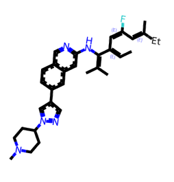 C\C=C(/C=C(F)\C=C(/C)CC)C(Nc1cc2cc(-c3cnn(C4CCN(C)CC4)c3)ccc2cn1)=C(C)C